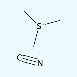 C[S+](C)C.[C-]#N